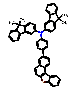 CC1(C)c2ccccc2-c2cc(N(c3ccc(-c4ccc5c(ccc6sc7ccccc7c65)c4)cc3)c3ccc4c(c3)-c3ccccc3C4(C)C)ccc21